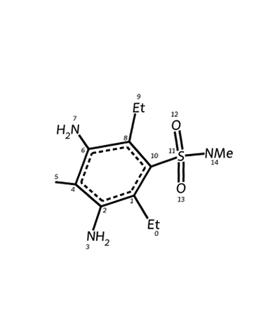 CCc1c(N)c(C)c(N)c(CC)c1S(=O)(=O)NC